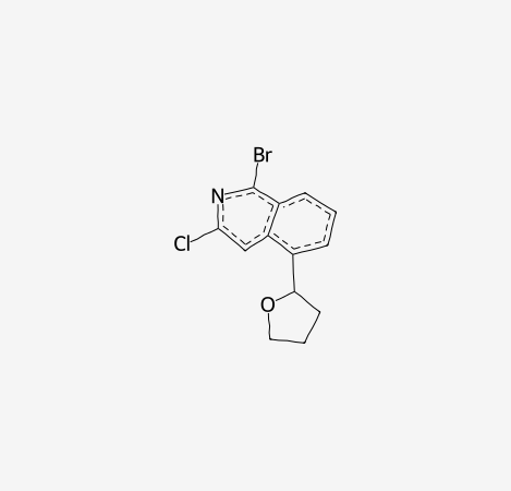 Clc1cc2c(C3CCCO3)cccc2c(Br)n1